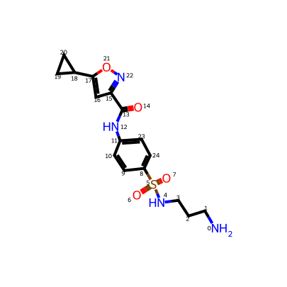 NCCCNS(=O)(=O)c1ccc(NC(=O)c2cc(C3CC3)on2)cc1